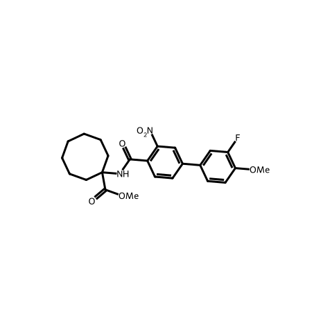 COC(=O)C1(NC(=O)c2ccc(-c3ccc(OC)c(F)c3)cc2[N+](=O)[O-])CCCCCCC1